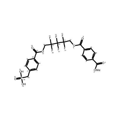 COC(=O)c1ccc(C(=O)OCC(F)(F)C(F)(F)C(F)(F)COC(=O)c2ccc(CP(=O)(O)O)cc2)cc1